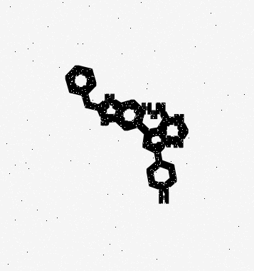 Nc1ncnn2c(C3CCNCC3)cc(-c3ccc4nc(Cc5ccccc5)sc4c3)c12